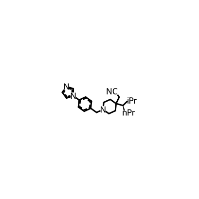 CCC[C@H](C(C)C)C1(CC#N)CCN(Cc2ccc(-n3ccnc3)cc2)CC1